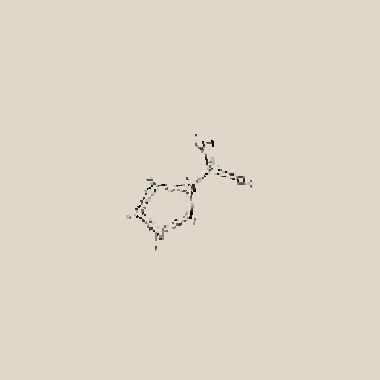 O=[PH](O)n1ccnc1